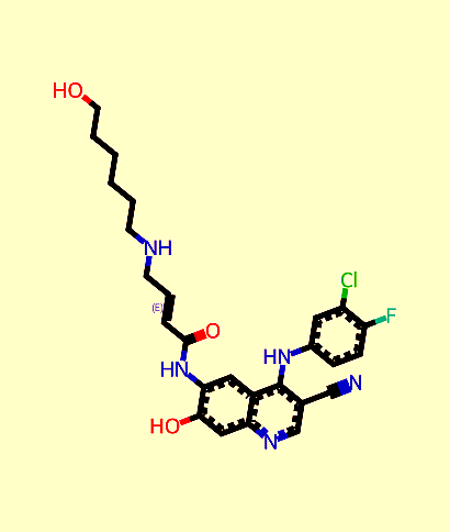 N#Cc1cnc2cc(O)c(NC(=O)/C=C/CNCCCCCCO)cc2c1Nc1ccc(F)c(Cl)c1